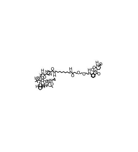 CCC[C@H](NC(=O)[C@@H]1[C@H]2CCC[C@H]2CN1C(=O)[C@@H](NC(=O)[C@H](C)NC(=O)c1cnc(C(=O)NCCCCCCCCNC(=O)CCOCCOCCNc2cccc3c2C(=O)N(C2CCC(=O)NC2=O)C3=O)cn1)C(C)(C)C)C(=O)C(=O)NC1CC1